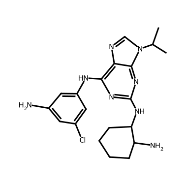 CC(C)n1cnc2c(Nc3cc(N)cc(Cl)c3)nc(NC3CCCCC3N)nc21